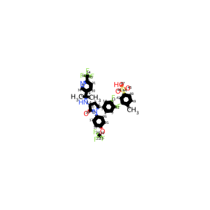 CC(C)(N[C@@H]1C[C@H](c2ccc(F)c(F)c2)N(c2ccc(OC(F)(F)F)cc2)C1=O)c1ccc(C(F)(F)F)nc1.Cc1ccc(S(=O)(=O)O)cc1